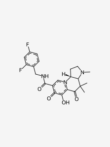 CN1CC[C@@H]2C1C(C)(C)C(=O)c1c(O)c(=O)c(C(=O)NCc3ccc(F)cc3F)cn12